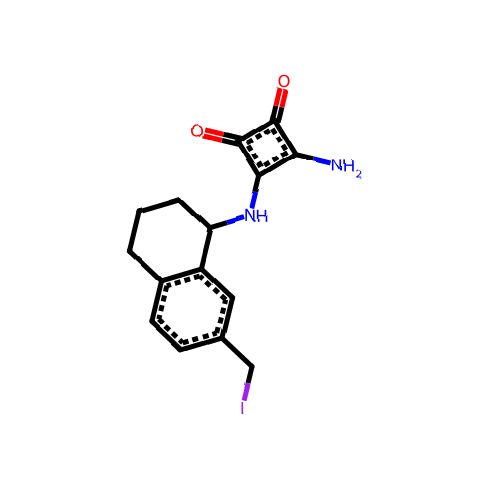 Nc1c(NC2CCCc3ccc(CI)cc32)c(=O)c1=O